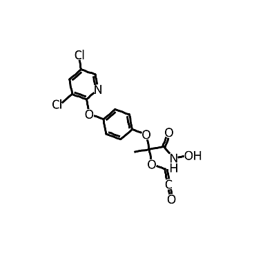 CC(OC=C=O)(Oc1ccc(Oc2ncc(Cl)cc2Cl)cc1)C(=O)NO